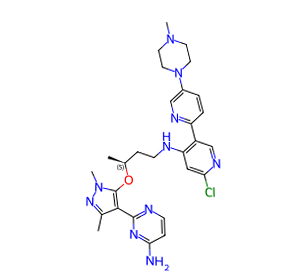 Cc1nn(C)c(O[C@@H](C)CCNc2cc(Cl)ncc2-c2ccc(N3CCN(C)CC3)cn2)c1-c1nccc(N)n1